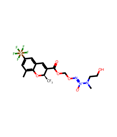 Cc1cc(S(F)(F)(F)(F)F)cc2c1O[C@H](C(F)(F)F)C(C(=O)OCO/N=[N+](\[O-])N(C)CCO)=C2